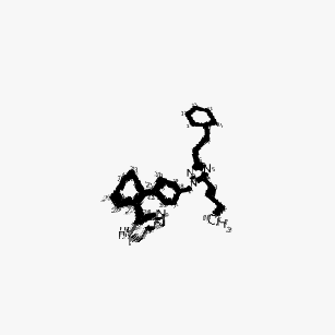 CC/C=C/c1nc(CCC2CCCCC2)nn1Cc1ccc(-c2ccccc2-c2nnn[nH]2)cc1